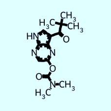 CN(C)C(=O)Oc1cnc2[nH]cc(C(=O)C(C)(C)C)c2n1